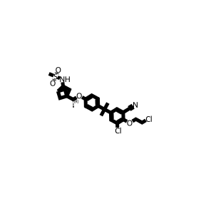 C[C@@H](Oc1ccc(C(C)(C)c2cc(Cl)c(OCCCl)c(C#N)c2)cc1)C12CC(C1)C(NS(C)(=O)=O)C2